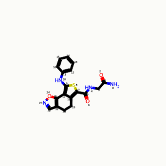 NC(=O)CNC(=O)c1sc(Nc2ccccc2)c2c1CCc1cnoc1-2